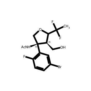 CC(=O)N[C@@]1(c2cc(Br)ccc2F)COC(C(C)(F)F)[C@H]1CO